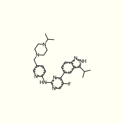 CC(C)c1[nH]nc2ccc(-c3nc(Nc4ccc(CN5CCN(C(C)C)CC5)cn4)ncc3F)cc12